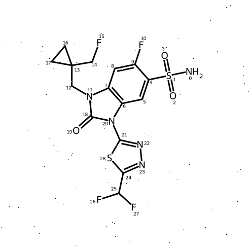 NS(=O)(=O)c1cc2c(cc1F)n(CC1(CF)CC1)c(=O)n2-c1nnc(C(F)F)s1